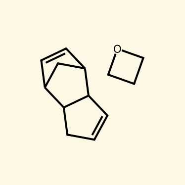 C1=CC2C3C=CC(C3)C2C1.C1COC1